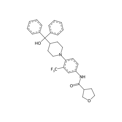 O=C(Nc1ccc(N2CCC(C(O)(c3ccccc3)c3ccccc3)CC2)c(C(F)(F)F)c1)C1CCOC1